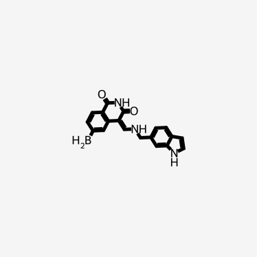 Bc1ccc2c(c1)/C(=C/NCc1ccc3cc[nH]c3c1)C(=O)NC2=O